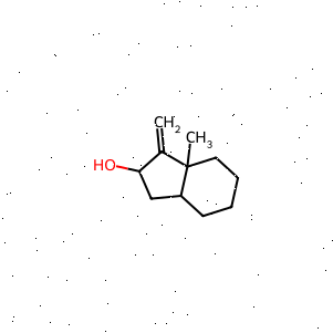 C=C1C(O)CC2CCCCC12C